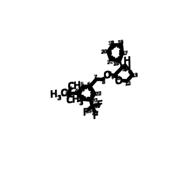 CC(C)(C)c1cc(CCO[C@@H]2OCCN[C@H]2c2ccccc2)cc(C(F)(F)F)c1